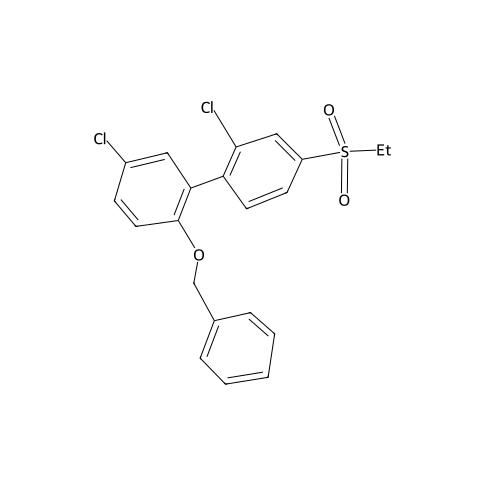 CCS(=O)(=O)c1ccc(-c2cc(Cl)ccc2OCc2ccccc2)c(Cl)c1